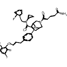 NC(=O)CCCC(=O)N1CC2CC(c3ccc(CCCOc4c(F)ccc(F)c4F)cc3)=C(C(=O)N(Cc3ccccc3F)C3CC3)C(C1)N2